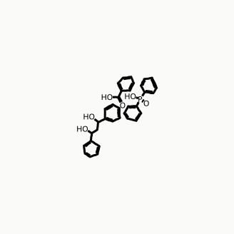 O=C(O)c1ccccc1.O=P(O)(c1ccccc1)c1ccccc1.OC(CC(O)c1ccccc1)c1ccccc1